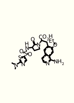 CCOc1cc2c(N)nccc2cc1CC(C(=O)O)N1CCC(NS(=O)(=O)c2cnc(N(C)C)s2)C1=O